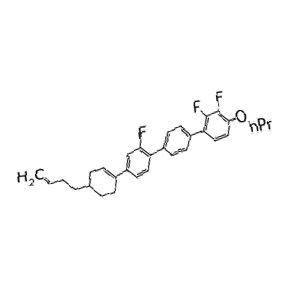 C=CCCC1CC=C(c2ccc(-c3ccc(-c4ccc(OCCC)c(F)c4F)cc3)c(F)c2)CC1